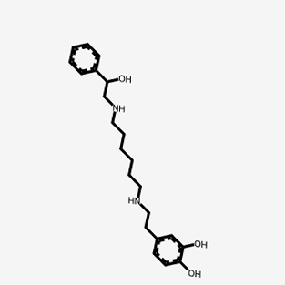 Oc1ccc(CCNCCCCCCNCC(O)c2ccccc2)cc1O